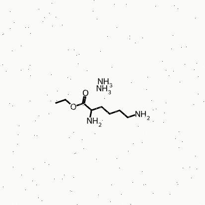 CCOC(=O)C(N)CCCCN.N.N